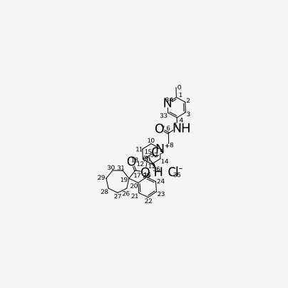 Cc1ccc(NC(=O)C[N+]23CCC(CC2)[C@@H](OC(=O)C2(c4ccccc4)CCCCCC2)C3)cn1.[Cl-]